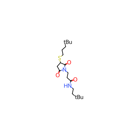 CC(C)(C)CCCSC1CC(=O)N(CCC(=O)NCCC(C)(C)C)C1=O